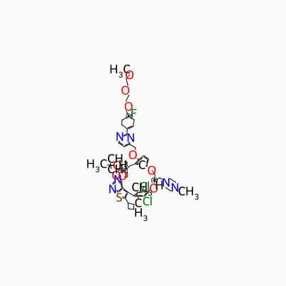 COCCOCCOC[C@]1(F)CC=C(c2nccc(COc3ccc4cc3C[C@H](C(=O)OC(C)(C)C)Oc3ncnc5sc(C6CCC6)c(c35)-c3c(C)c(Cl)c(c(Cl)c3C)O[C@H](CN3CCN(C)CC3)CO4)n2)CC1